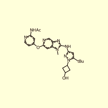 CC(=O)Nc1cc(Oc2cc3c(cn2)nc(Nc2cc(C(C)(C)C)n(C4CC(O)C4)n2)n3C)ccn1